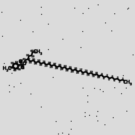 CCCCCCCCCCCCCCCCCCCCCCCCCCCCCCCCCCCCCC(CCCC)COS(=O)(=O)c1ccc(C)cc1